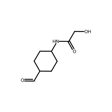 O=[C]C1CCC(NC(=O)CO)CC1